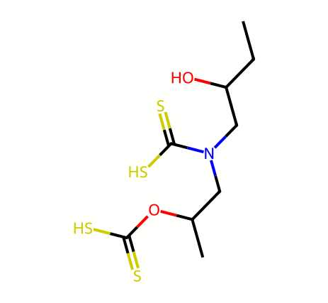 CCC(O)CN(CC(C)OC(=S)S)C(=S)S